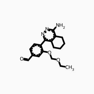 CCOCOc1cc(C=O)ccc1-c1nnc(N)c2c1CCCC2